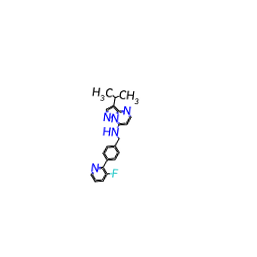 CC(C)c1cnn2c(NCc3ccc(-c4ncccc4F)cc3)ccnc12